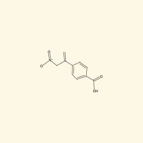 C=C(C[N+](=O)[O-])c1ccc(C(=O)O)cc1